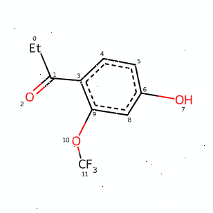 CCC(=O)c1ccc(O)cc1OC(F)(F)F